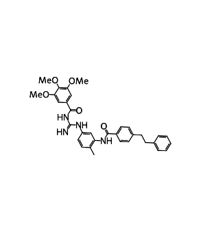 COc1cc(C(=O)NC(=N)Nc2ccc(C)c(NC(=O)c3ccc(CCc4ccccc4)cc3)c2)cc(OC)c1OC